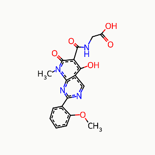 COc1ccccc1-c1ncc2c(O)c(C(=O)NCC(=O)O)c(=O)n(C)c2n1